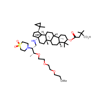 COCCOCCOCCO[C@H](C)[C@@H](CN[C@]12CC[C@@H](C3(C)CC3)[C@@H]1[C@H]1CC[C@@H]3[C@@]4(C)CC[C@H](OC(=O)CC(C)(C)C(=O)O)C(C)(C)[C@@H]4CC[C@@]3(C)[C@]1(C)CC2)N1CCS(=O)(=O)CC1